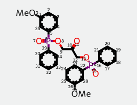 COc1cccc(P(=O)(OCC(=O)COP(=O)(c2ccccc2)c2cccc(OC)c2)c2ccccc2)c1